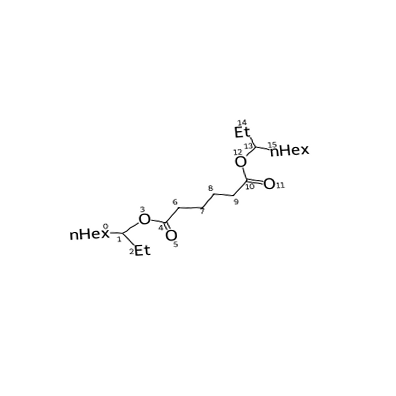 CCCCCCC(CC)OC(=O)CCCCC(=O)OC(CC)CCCCCC